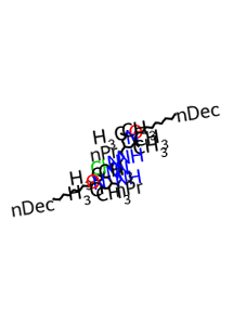 CCCCCCCCCCCCCCCCCCON1C(C)(C)CC(C(CCC)Nc2nc(Cl)nc(NC(CCC)C3CC(C)(C)N(OCCCCCCCCCCCCCCCCCC)C(C)(C)C3)n2)CC1(C)C